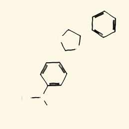 OB(O)c1ccc([C@@H]2OC[C@H](c3ccccc3)O2)cc1